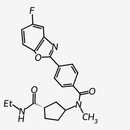 CCNC(=O)[C@H]1CCC(N(C)C(=O)c2ccc(-c3nc4cc(F)ccc4o3)cc2)C1